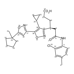 Cc1ccc(NC(=O)C[C@H](CCC(=O)O)c2noc(-c3cc(C4(C)CCCC4)on3)c2C2CC2)c(Cl)c1